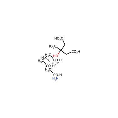 CC(=O)O.CC(=O)O.CC(=O)O.CC(=O)O.N.O=C(O)CC(O)(CC(=O)O)C(=O)O